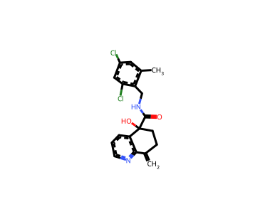 C=C1CCC(O)(C(=O)NCc2c(C)cc(Cl)cc2Cl)c2cccnc21